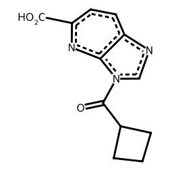 O=C(O)c1ccc2ncn(C(=O)C3CCC3)c2n1